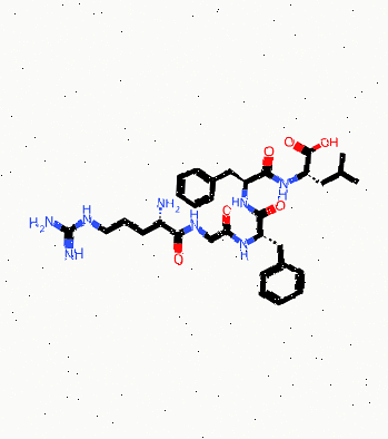 CC(C)C[C@H](NC(=O)[C@H](Cc1ccccc1)NC(=O)[C@H](Cc1ccccc1)NC(=O)CNC(=O)[C@@H](N)CCCNC(=N)N)C(=O)O